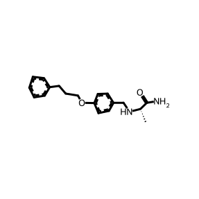 C[C@H](NCc1ccc(OCCCc2ccccc2)cc1)C(N)=O